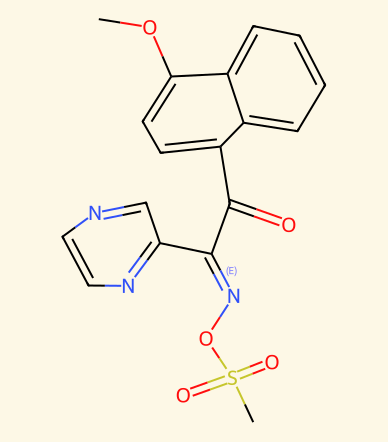 COc1ccc(C(=O)/C(=N/OS(C)(=O)=O)c2cnccn2)c2ccccc12